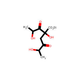 CCOC(=O)C(O)(CC(=O)C(C)O)C(=O)C(C)O